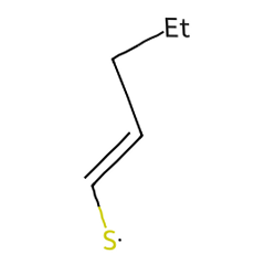 CCC/C=C/[S]